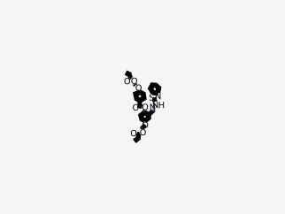 C=CC(=O)OCOc1ccc(C(=O)Oc2ccc(OCOC(=O)C=C)cc2/C=N/Nc2nc3ccccc3s2)cc1